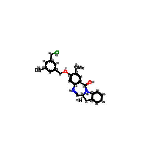 COc1cc2c(cc1OCc1cc(CCl)cc(N=O)c1)N=C[C@@H]1Cc3ccccc3N1C2=O